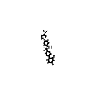 CN(C)C1CCN(c2ccc(NC(=O)c3ccc(-c4ccc(F)cc4F)cc3)cc2)C1